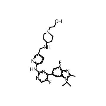 Cc1nc2c(F)cc(-c3nc(Nc4ccc(CNC5CCN(CCO)CC5)cn4)ncc3F)cc2n1C(C)C